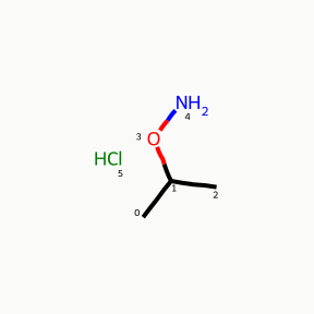 CC(C)ON.Cl